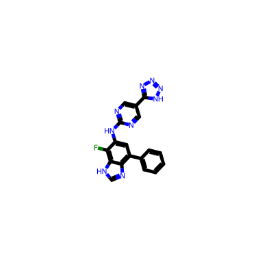 Fc1c(Nc2ncc(-c3nnn[nH]3)cn2)cc(-c2ccccc2)c2nc[nH]c12